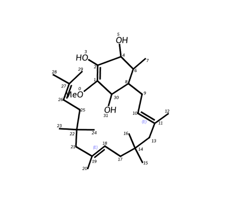 COC1=C(O)C(O)C(C)C(C/C=C(\C)CC(C)(C)C/C=C(\C)CC(C)(C)CC=C(C)C)C1O